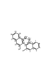 Cc1cc2ccccc2[n+]([O-])c1-c1c(C)cc2ccccc2[n+]1[O-]